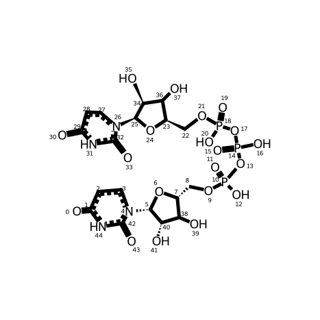 O=c1ccn([C@@H]2O[C@H](COP(=O)(O)OP(=O)(O)OP(=O)(O)OC[C@H]3O[C@@H](n4ccc(=O)[nH]c4=O)[C@@H](O)C3O)C(O)[C@@H]2O)c(=O)[nH]1